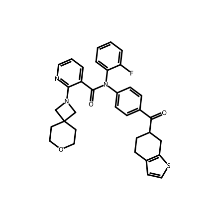 O=C(c1ccc(N(C(=O)c2cccnc2N2CC3(CCOCC3)C2)c2ccccc2F)cc1)C1CCc2ccsc2C1